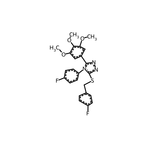 COc1cc(-c2nnc(SCc3ccc(F)cc3)n2-c2ccc(F)cc2)cc(OC)c1OC